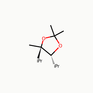 CC(C)[C@H]1OC(C)(C)O[C@]1(C)C(C)C